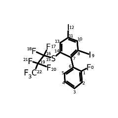 Fc1ccccc1-c1c(I)[c]c(I)cc1SC(F)(F)C(F)(F)C(F)(F)F